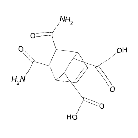 NC(=O)C1C2C=CC(C1C(N)=O)C(C(=O)O)C2C(=O)O